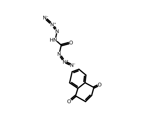 O=C1C=CC(=O)c2ccccc21.[N-]=[N+]=NNC(=O)N=[N+]=[N-]